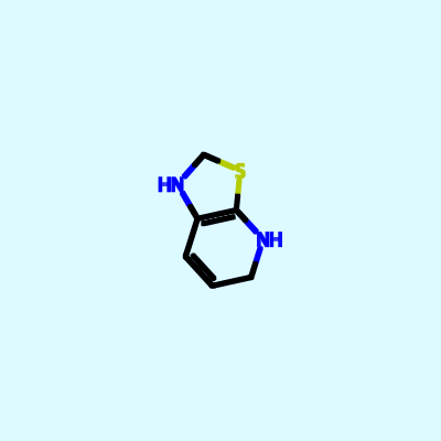 C1=CC2=C(NC1)SCN2